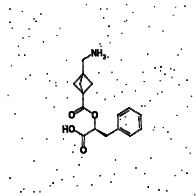 NCC12CC(C(=O)O[C@@H](Cc3ccccc3)C(=O)O)(C1)C2